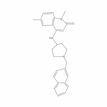 Cc1ccc2c(c1)c(NC1CCN(Cc3ccc4ccccc4c3)CC1)cc(=O)n2C